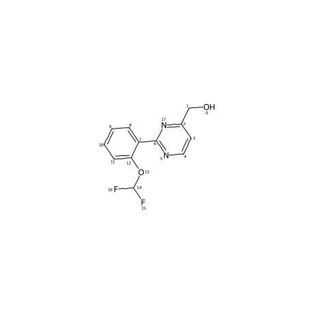 OCc1ccnc(-c2ccccc2OC(F)F)n1